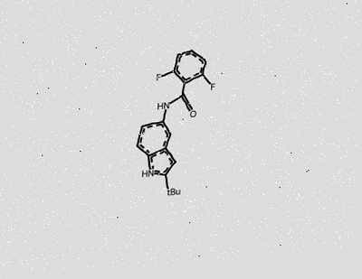 CC(C)(C)c1cc2cc(NC(=O)c3c(F)cccc3F)ccc2[nH]1